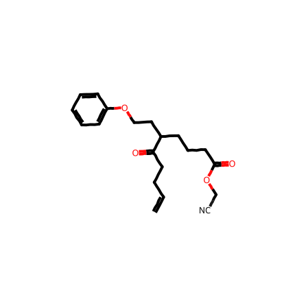 C=CCCC(=O)C(CCCC(=O)OCC#N)CCOc1ccccc1